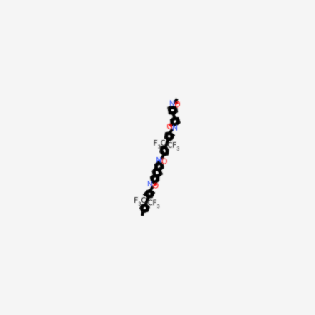 Cc1ccc(C(c2ccc(-c3nc4cc5cc6cc7nc(-c8ccc(C(c9ccc(-c%10nc%11ccc(-c%12ccc%13nc(C)oc%13c%12)cc%11o%10)cc9)(C(F)(F)F)C(F)(F)F)cc8)oc7cc6cc5cc4o3)cc2)(C(F)(F)F)C(F)(F)F)cc1